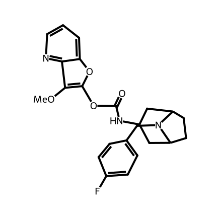 COc1c(OC(=O)NC2CC3CCC(C2)N3Cc2ccc(F)cc2)oc2cccnc12